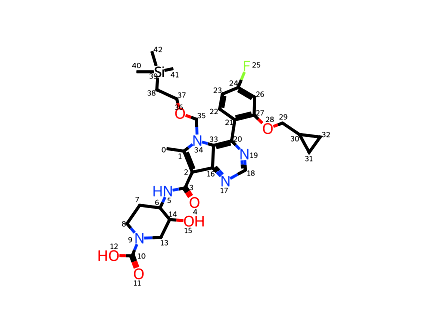 Cc1c(C(=O)NC2CCN(C(=O)O)CC2O)c2ncnc(-c3ccc(F)cc3OCC3CC3)c2n1COCC[Si](C)(C)C